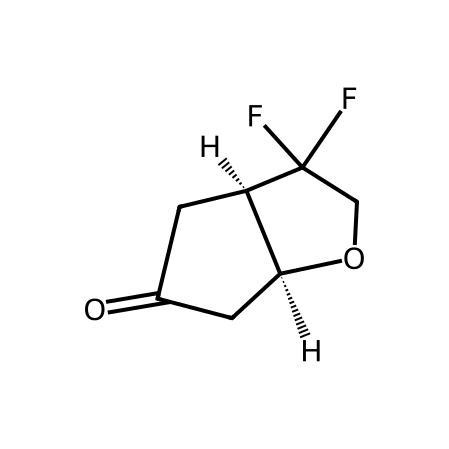 O=C1C[C@@H]2OCC(F)(F)[C@@H]2C1